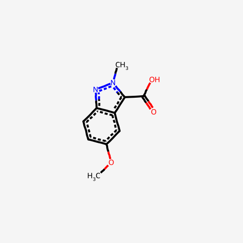 COc1ccc2nn(C)c(C(=O)O)c2c1